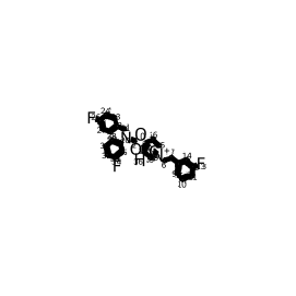 O=C(O[C@H]1C[N+]2(CCc3cccc(F)c3)CCC1CC2)N(Cc1ccc(F)cc1)c1cccc(F)c1